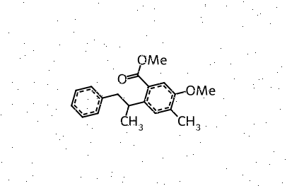 COC(=O)c1cc(OC)c(C)cc1C(C)Cc1ccccc1